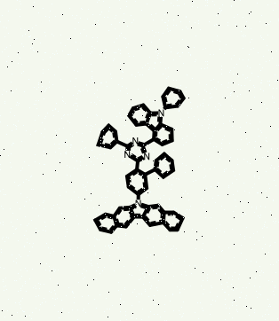 c1ccc(-c2nc(-c3ccc(-n4c5cc6ccccc6cc5c5cc6ccccc6cc54)cc3-c3ccccc3)nc(-c3cccc4c3c3ccccc3n4-c3ccccc3)n2)cc1